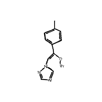 Cc1ccc(C(=Cn2cncn2)OC(C)C)cc1